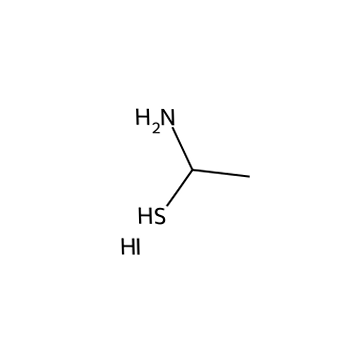 CC(N)S.I